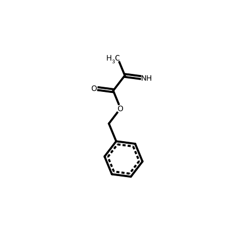 CC(=N)C(=O)OCc1ccccc1